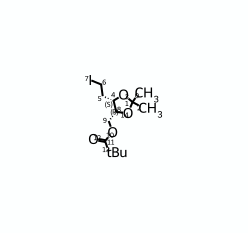 CC1(C)O[C@@H](CCI)[C@@H](COC(=O)C(C)(C)C)O1